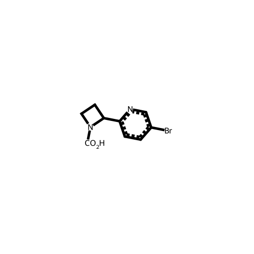 O=C(O)N1CCC1c1ccc(Br)cn1